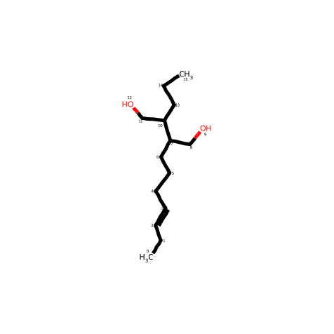 CC/C=C/CCCC(CO)C(CO)CCC